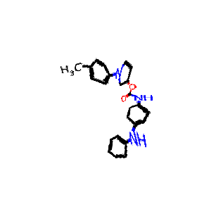 Cc1ccc(N2CCC(OC(=O)Nc3ccc(Nc4ccccc4)cc3)C2)cc1